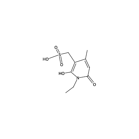 CCn1c(O)c(CS(=O)(=O)O)c(C)cc1=O